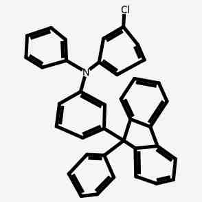 Clc1cccc(N(c2ccccc2)c2cccc(C3(c4ccccc4)c4ccccc4-c4ccccc43)c2)c1